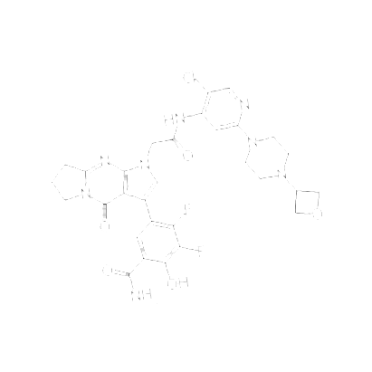 NC(=O)c1cc(-c2cn(CC(=O)Nc3cc(N4CCN(C5COC5)CC4)ncc3Cl)c3nc4n(c(=O)c23)CCC4)c(F)c(F)c1O